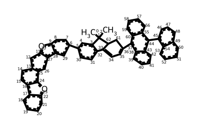 CC1(C)c2cc(-c3ccc4oc5cc6ccc7c8ccccc8oc7c6cc5c4c3)ccc2C2=CC=C(c3c4ccccc4c(-c4cccc5ccccc45)c4ccccc34)CC21